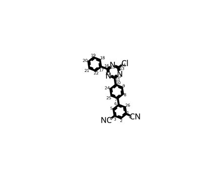 N#Cc1cc(C#N)cc(-c2ccc(-c3nc(Cl)nc(-c4ccccc4)n3)cc2)c1